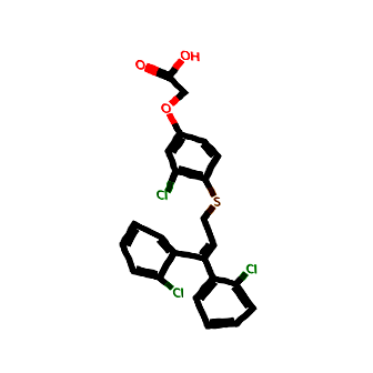 O=C(O)COc1ccc(SCC=C(c2ccccc2Cl)c2ccccc2Cl)c(Cl)c1